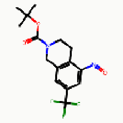 CC(C)(C)OC(=O)N1CCc2c(cc(C(F)(F)F)cc2N=O)C1